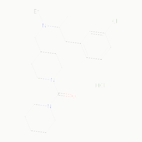 CCN(CC1CCN(C(=O)N2CCCCC2)CC1)C(C)Cc1cccc(Cl)c1.Cl